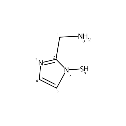 NCc1nccn1S